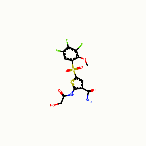 COc1c(S(=O)(=O)c2cc(C(N)=O)c(NC(=O)CO)s2)cc(F)c(F)c1F